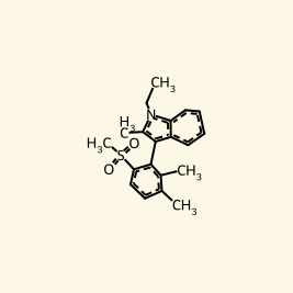 CCn1c(C)c(-c2c(S(C)(=O)=O)ccc(C)c2C)c2ccccc21